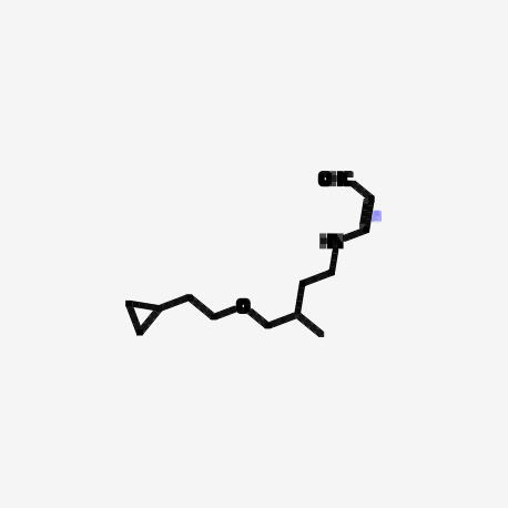 CC(CCN/C=C\C=O)COCCC1CC1